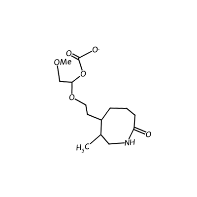 [CH2]OCC(OCCC1CCCC(=O)NCC1C)OC([O])=O